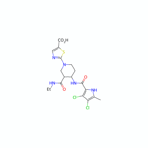 CCNC(=O)C1CN(c2ncc(C(=O)O)s2)CCC1NC(=O)c1[nH]c(C)c(Cl)c1Cl